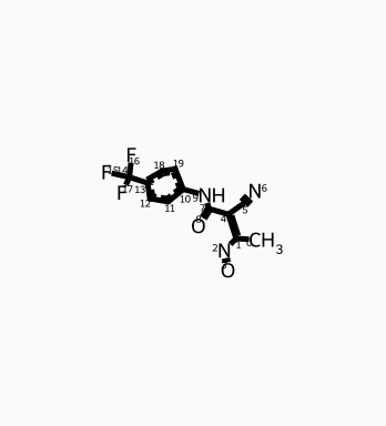 C/C(N=O)=C(\C#N)C(=O)Nc1ccc(C(F)(F)F)cc1